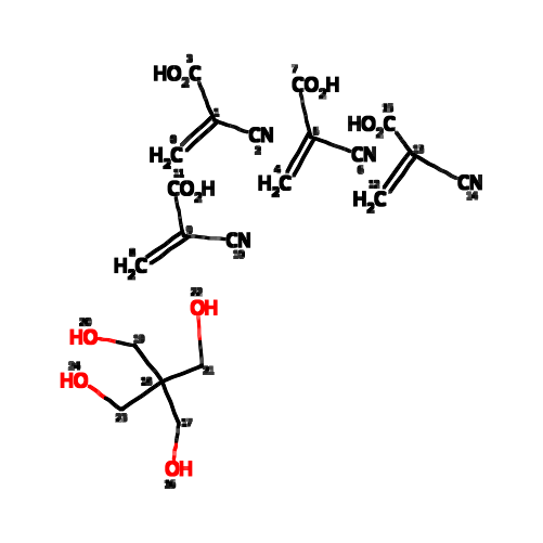 C=C(C#N)C(=O)O.C=C(C#N)C(=O)O.C=C(C#N)C(=O)O.C=C(C#N)C(=O)O.OCC(CO)(CO)CO